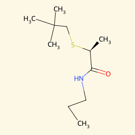 CCCNC(=O)[C@H](C)SCC(C)(C)C